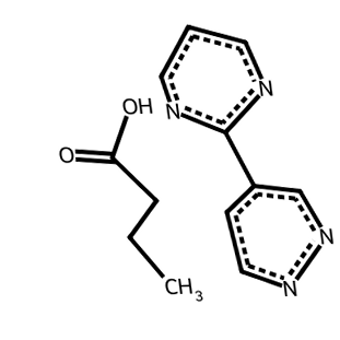 CCCC(=O)O.c1cnc(-c2ccnnc2)nc1